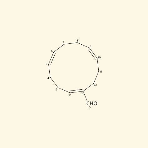 O=CC1=CCCC=CCCC=CCC1